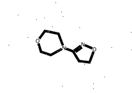 C1CN(C2=NOCC2)CCO1